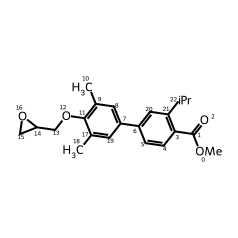 COC(=O)c1ccc(-c2cc(C)c(OCC3CO3)c(C)c2)cc1C(C)C